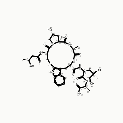 C[C@H](O)CC(=O)N[C@@H]1CSc2[nH]c3ccccc3c2C[C@@H](C(=O)N[C@@H](C[C@@](C)(O)CO)C(=O)N[C@H](C)C(N)=O)NC(=O)[C@H](C)NC(=O)[C@@H]2C[C@@H](O)CN2C1=O